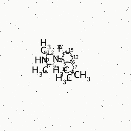 CC1CN(c2cc(CC(C)(C)C)ccc2F)CC(C)N1